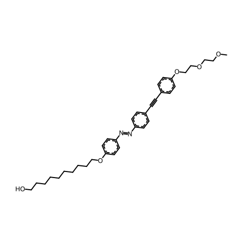 COCCOCCOc1ccc(C#Cc2ccc(/N=N/c3ccc(OCCCCCCCCCCO)cc3)cc2)cc1